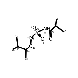 CC(C)C(=O)NS(=O)(=O)NOC(C)C(C)C